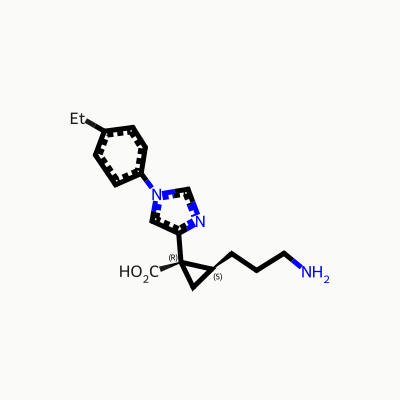 CCc1ccc(-n2cnc([C@@]3(C(=O)O)C[C@@H]3CCCN)c2)cc1